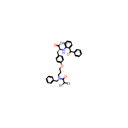 CCC(CC)C(=O)N(CCCOc1ccc(C[C@H](Nc2ccccc2C(=O)c2ccccc2)C(=O)OC)cc1)Cc1ccccc1